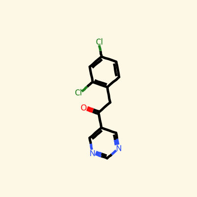 O=C(Cc1ccc(Cl)cc1Cl)c1cncnc1